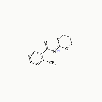 O=C(/N=C1/OCCCS1)c1cnccc1C(F)(F)F